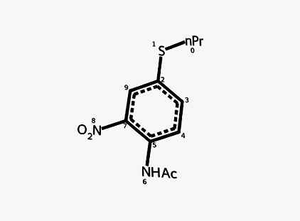 CCCSc1ccc(NC(C)=O)c([N+](=O)[O-])c1